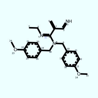 C=C(C=N)/C(=N\CC)N(Cc1ccc(OC)cc1)Cc1ccc(OC)cc1